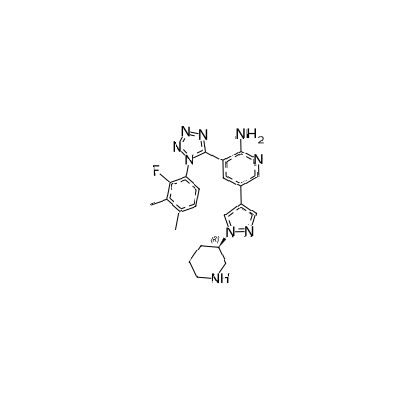 Cc1ccc(-n2nnnc2-c2cc(-c3cnn([C@@H]4CCCNC4)c3)cnc2N)c(F)c1C